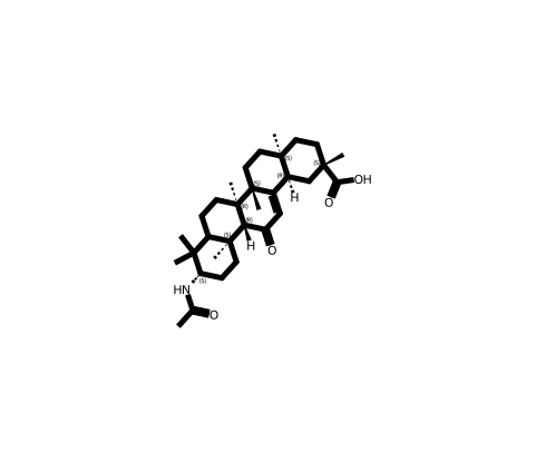 CC(=O)N[C@H]1CC[C@@]2(C)C(CC[C@]3(C)[C@@H]2C(=O)C=C2[C@@H]4C[C@@](C)(C(=O)O)CC[C@]4(C)CC[C@]23C)C1(C)C